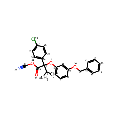 CC(C)C(Oc1cccc(OCc2ccccc2)c1)(C(=O)OC#N)c1ccc(Cl)cc1